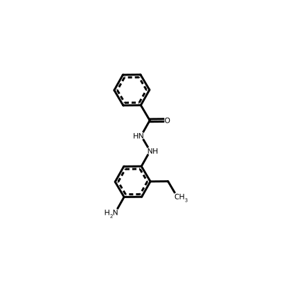 CCc1cc(N)ccc1NNC(=O)c1ccccc1